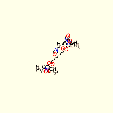 CC1(C)CC(OC(=O)CCCCCCCCC(=O)OC2CC(C)(C)N(OC3COCCN3CCCCCCN3CCOCC3)C(C)(C)C2)CC(C)(C)N1O